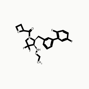 CCSN[C@@H]1[C@H](Cc2cccc(-c3cc(F)ccc3F)c2)N(C(=O)C2CCO2)CC1(F)F